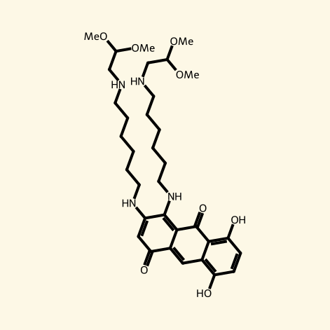 COC(CNCCCCCCNC1=CC(=O)C2=Cc3c(O)ccc(O)c3C(=O)C2=C1NCCCCCCNCC(OC)OC)OC